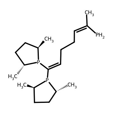 C/C(P)=C/CCC=C(P1[C@H](C)CC[C@H]1C)P1[C@H](C)CC[C@H]1C